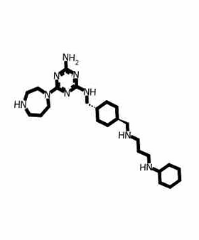 Nc1nc(NC[C@H]2CC[C@H](CNCCCNC3CCCCC3)CC2)nc(N2CCCNCC2)n1